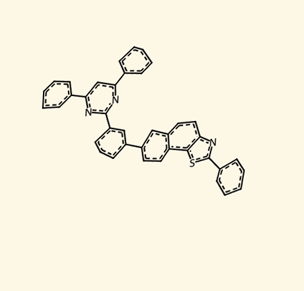 c1ccc(-c2cc(-c3ccccc3)nc(-c3cccc(-c4ccc5c(ccc6nc(-c7ccccc7)sc65)c4)c3)n2)cc1